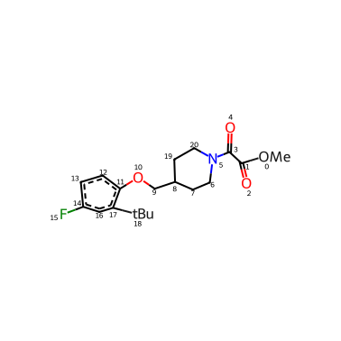 COC(=O)C(=O)N1CCC(COc2ccc(F)cc2C(C)(C)C)CC1